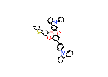 c1ccc(-n2c3ccccc3c3cc4c(cc32)Oc2cc(-c3ccc(-n5c6ccccc6c6ccccc65)cc3)cc3c2B4c2cc4c(cc2O3)sc2ccccc24)cc1